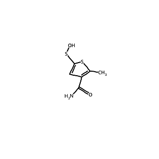 Cc1sc(SO)cc1C(N)=O